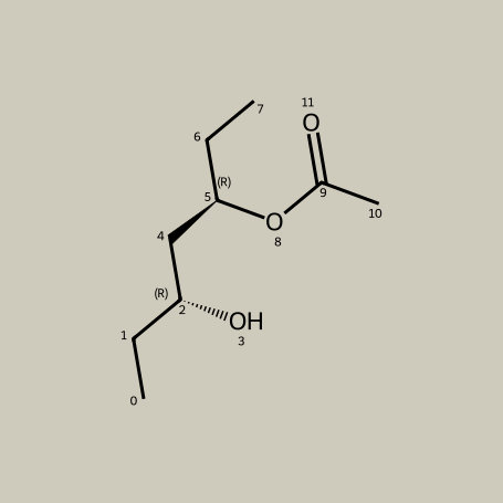 CC[C@@H](O)C[C@@H](CC)OC(C)=O